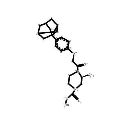 C[C@H]1CN(C(=O)OC(C)(C)C)CCN1C(=O)COc1ccc(C23CC4CC(CC(C4)C2)C3)cc1